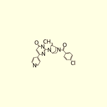 Cn1c(N2CC3CC2CN3C(=O)c2ccc(Cl)cc2)nc(-c2ccncc2)cc1=O